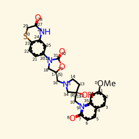 COc1ccc2ccc(=O)n(C[C@@]3(O)CCN(C[C@H]4CN(c5ccc6c(c5)NC(=O)CS6)C(=O)O4)C3)c2c1